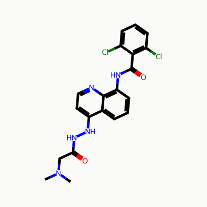 CN(C)CC(=O)NNc1ccnc2c(NC(=O)c3c(Cl)cccc3Cl)cccc12